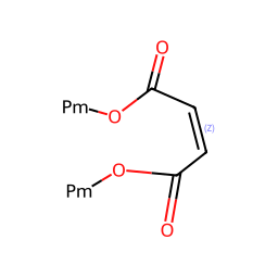 O=C(/C=C\C(=O)[O][Pm])[O][Pm]